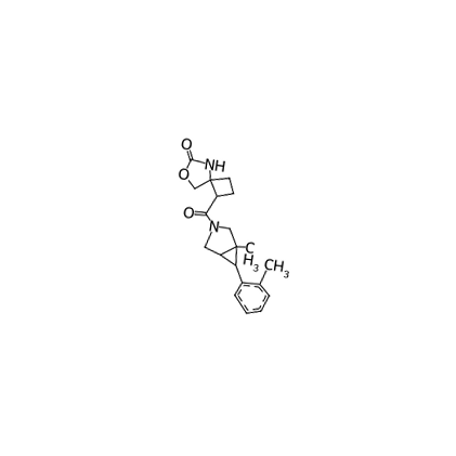 Cc1ccccc1C1C2CN(C(=O)C3CCC34COC(=O)N4)CC21C